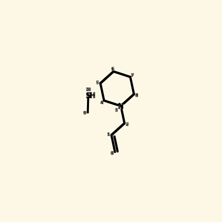 C=CCN1CCCCC1.CS